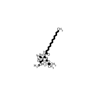 [2H]C([2H])([2H])N(CC(=O)OC)/C(=N\C(=O)OC(C)(C)C)NC(=O)CCCCCCCCCCCCC